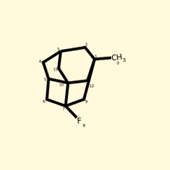 CC12CC3CC4CC(F)(C1)C4(C3)C2